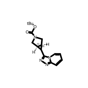 CC(C)(C)OC(=O)N1C[C@@H]2C(c3nnc4ccccn34)[C@@H]2C1